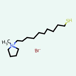 C[N+]1(CCCCCCCCCCS)CCCC1.[Br-]